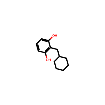 Oc1cccc(O)c1CC1CCCCC1